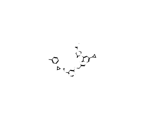 CC(C)(C)OC(=O)N1CC(=O)N(c2cc(C3CC3)cn3cc(CNc4cc(NC(=O)[C@H]5C[C@@H]5c5cccc(Cl)c5)ncn4)nc23)C1